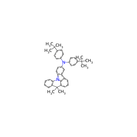 CC(C)(C)c1ccc(N(c2ccc(C(C)(C)C)cc2)c2ccc3c(c2)c2cccc4c2n3-c2ccccc2C4(C)C)cc1